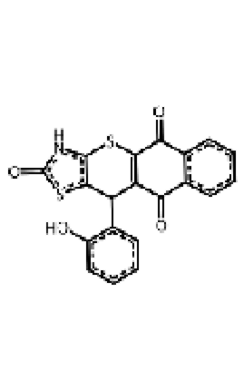 O=C1C2=C(C(=O)c3ccccc31)C(c1ccccc1O)c1sc(=O)[nH]c1S2